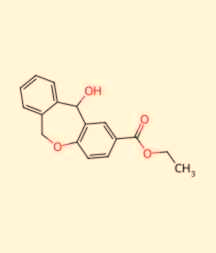 CCOC(=O)c1ccc2c(c1)C(O)c1ccccc1CO2